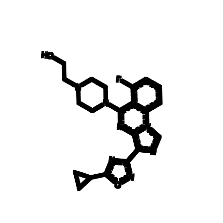 OCCN1CCN(c2nc3c(-c4noc(C5CC5)n4)ncn3c3cccc(F)c23)CC1